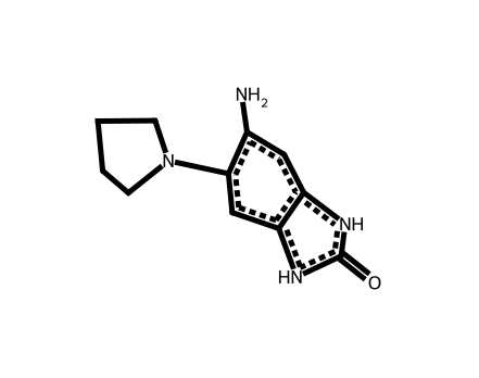 Nc1cc2[nH]c(=O)[nH]c2cc1N1CCCC1